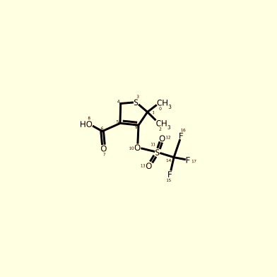 CC1(C)SCC(C(=O)O)=C1OS(=O)(=O)C(F)(F)F